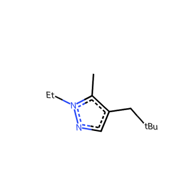 CCn1ncc(CC(C)(C)C)c1C